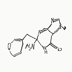 NC1(Cc2ccoc2)N=C2N=CN=C2C(=O)N1